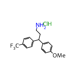 COc1ccc(C(CCN)c2ccc(C(F)(F)F)cc2)cc1.Cl